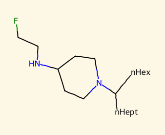 CCCCCCCC(CCCCCC)N1CCC(NCCF)CC1